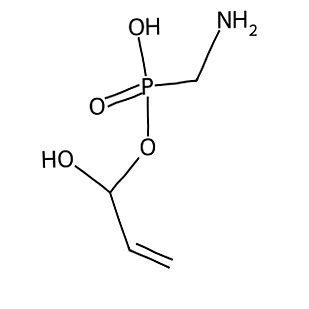 C=CC(O)OP(=O)(O)CN